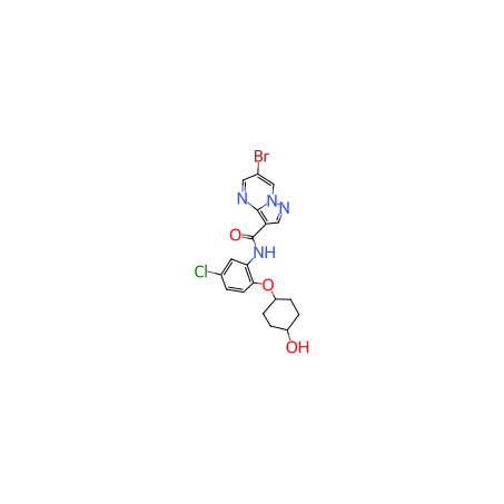 O=C(Nc1cc(Cl)ccc1OC1CCC(O)CC1)c1cnn2cc(Br)cnc12